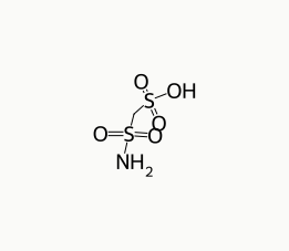 NS(=O)(=O)CS(=O)(=O)O